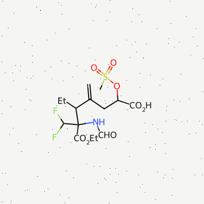 C=C(CC(OS(C)(=O)=O)C(=O)O)C(CC)C(NC=O)(C(=O)OCC)C(F)F